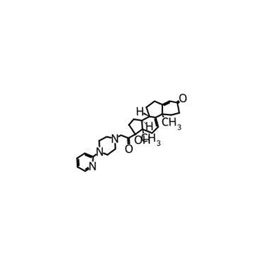 C[C@]12CCC(=O)C=C1CC[C@@H]1C2=CC[C@@]2(C)[C@H]1CC[C@]2(O)C(=O)CN1CCN(c2ccccn2)CC1